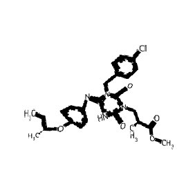 CC[C@@H](C)Oc1ccc(/N=c2\[nH]c(=O)n(C[C@H](C)C(=O)OC)c(=O)n2Cc2ccc(Cl)cc2)cc1